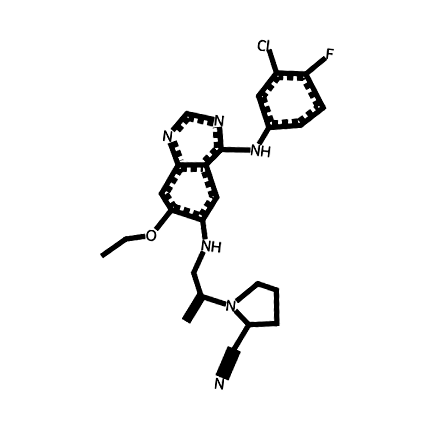 C=C(CNc1cc2c(Nc3ccc(F)c(Cl)c3)ncnc2cc1OCC)N1CCCC1C#N